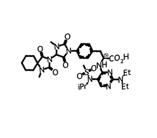 CCN(CC)c1ncc(N(C(C)C)S(C)(=O)=O)c(N[C@@H](Cc2ccc(N3C(=O)C(N4C(=O)N(C)C5(CCCCC5)C4=O)N(C)C3=O)cc2)C(=O)O)n1